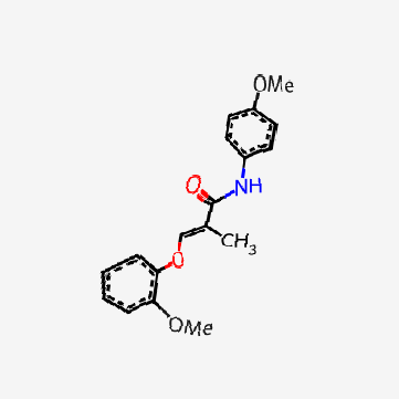 COc1ccc(NC(=O)/C(C)=C/Oc2ccccc2OC)cc1